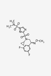 CO/N=C(\CN(C1CC1)S(=O)(=O)c1ncn(S(=O)(=O)N(C)C)n1)c1cc(F)cc(F)c1